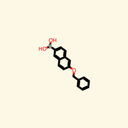 OB(O)c1ccc2cc(OCc3ccccc3)ccc2c1